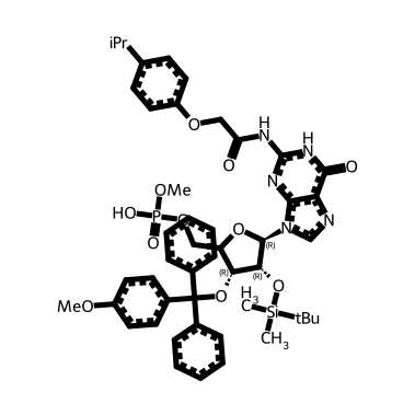 COc1ccc(C(O[C@@H]2C(COP(=O)(O)OC)O[C@@H](n3cnc4c(=O)[nH]c(NC(=O)COc5ccc(C(C)C)cc5)nc43)[C@@H]2O[Si](C)(C)C(C)(C)C)(c2ccccc2)c2ccccc2)cc1